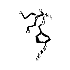 [N-]=[N+]=Nc1ccc(COP(N)(=O)N(CCCl)CCCl)cc1